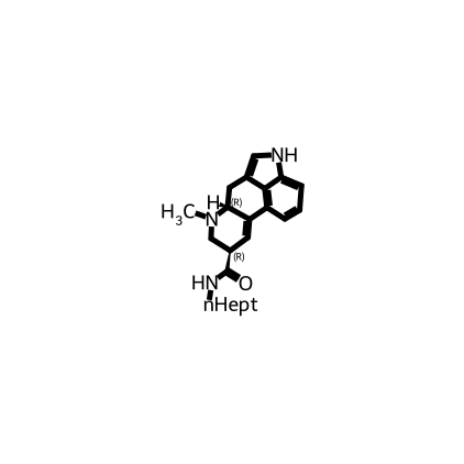 CCCCCCCNC(=O)[C@@H]1C=C2c3cccc4[nH]cc(c34)C[C@H]2N(C)C1